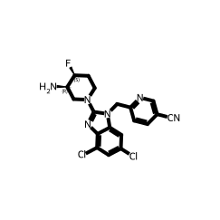 N#Cc1ccc(Cn2c(N3CC[C@H](F)[C@H](N)C3)nc3c(Cl)cc(Cl)cc32)nc1